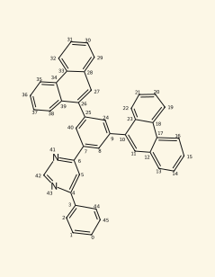 c1ccc(-c2cc(-c3cc(-c4cc5ccccc5c5ccccc45)cc(-c4cc5ccccc5c5ccccc45)c3)ncn2)cc1